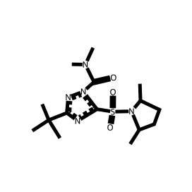 CC1CCC(C)N1S(=O)(=O)c1nc(C(C)(C)C)nn1C(=O)N(C)C